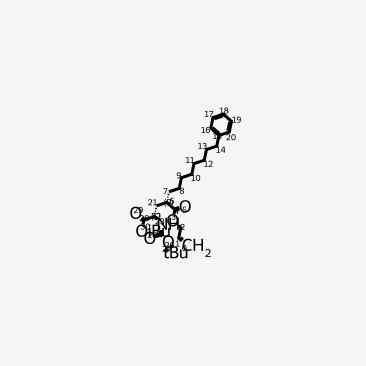 C=CCOC(=O)[C@@H](CCCCCCCCc1ccccc1)C[C@H](NC(=O)OC(C)(C)C)C(=O)OCC(C)C